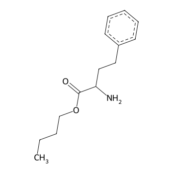 CCCCOC(=O)C(N)CCc1ccccc1